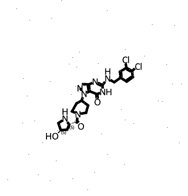 O=C([C@@H]1C[C@H](O)CN1)N1CCC(n2ncc3nc(NCc4ccc(Cl)c(Cl)c4)[nH]c(=O)c32)CC1